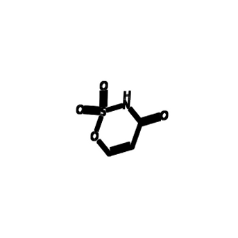 O=C1C=COS(=O)(=O)N1